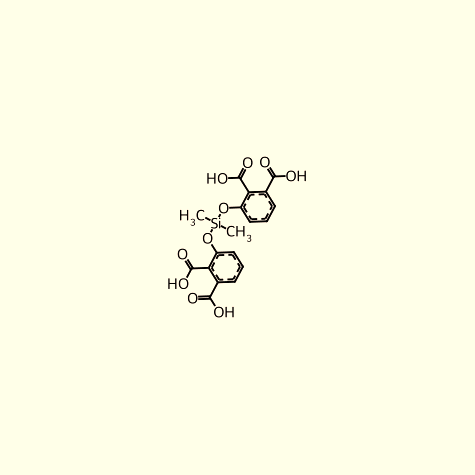 C[Si](C)(Oc1cccc(C(=O)O)c1C(=O)O)Oc1cccc(C(=O)O)c1C(=O)O